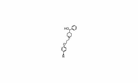 N#Cc1ccc(OCCCN2CCC(C(O)c3ccccc3)CC2)cc1